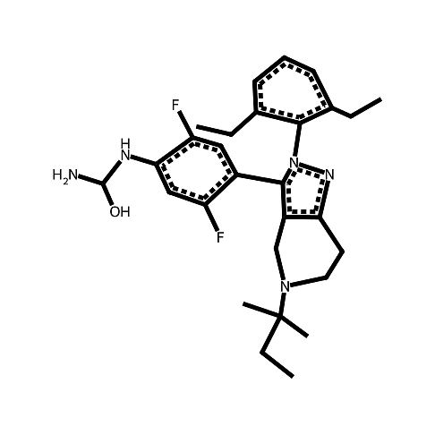 CCc1cccc(CC)c1-n1nc2c(c1-c1cc(F)c(NC(N)O)cc1F)CN(C(C)(C)CC)CC2